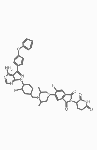 CC1CN(c2cc3c(cc2F)C(=O)N(C2CCC(=O)NC2=O)C3=O)CC(C)N1CC1CCC(n2nc(-c3ccc(Oc4ccccc4)cc3)c3c(N)ncnc32)C(F)C1